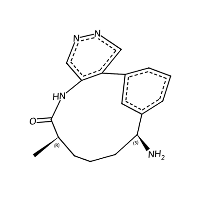 C[C@@H]1CCC[C@H](N)c2cccc(c2)-c2cnncc2NC1=O